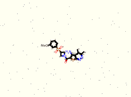 COc1cccc(S(=O)(=O)C2CN(C(=O)c3sc4nnc(C)c(C)c4c3N)C2)c1